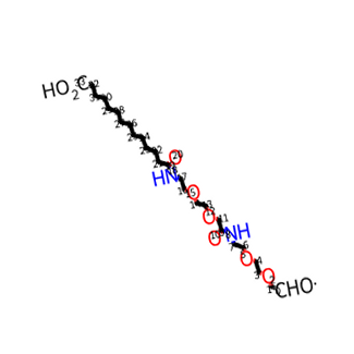 O=[C]COCCOCCNC(=O)COCCOCCNC(=O)CCCCCCCCCCCCC(=O)O